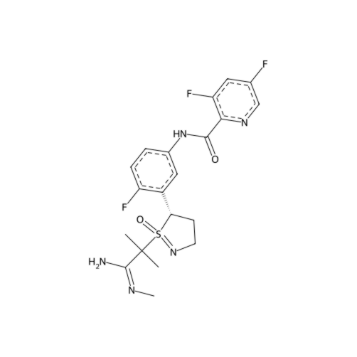 C/N=C(/N)C(C)(C)S1(=O)=NCC[C@H]1c1cc(NC(=O)c2ncc(F)cc2F)ccc1F